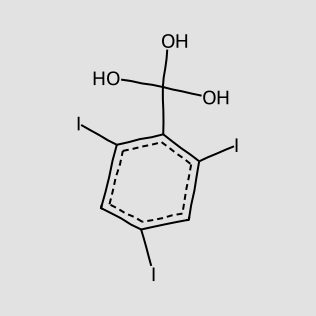 OC(O)(O)c1c(I)cc(I)cc1I